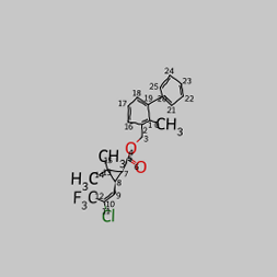 Cc1c(COC(=O)[C@H]2[C@@H](/C=C(/Cl)C(F)(F)F)C2(C)C)cccc1-c1ccccc1